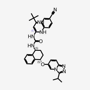 CC(C)c1nnc2ccc(O[C@H]3CC[C@H](NC(=O)N/C(=C/C(=N)C(C)(C)C)Nc4ccc(C#N)cc4)c4ccccc43)cn12